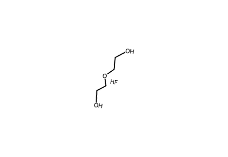 F.OCCOCCO